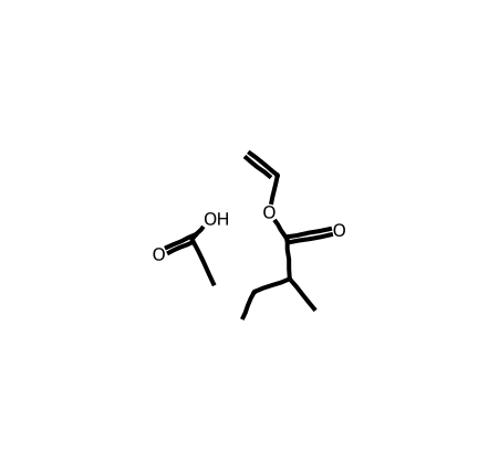 C=COC(=O)C(C)CC.CC(=O)O